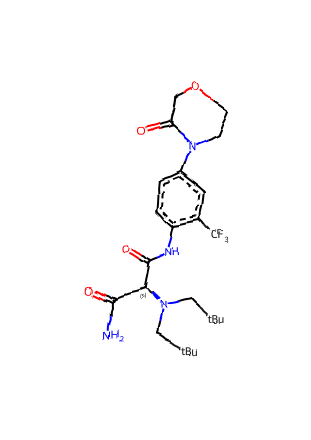 CC(C)(C)CN(CC(C)(C)C)[C@@H](C(N)=O)C(=O)Nc1ccc(N2CCOCC2=O)cc1C(F)(F)F